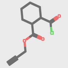 C#CCOC(=O)C1CCCCC1C(=O)Cl